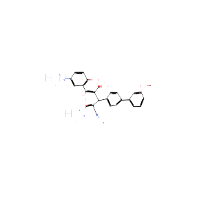 COc1cccc(-c2ccc(C3C(C#N)=C(N)Oc4c3c(=O)oc3ccc(N)cc43)cc2)c1